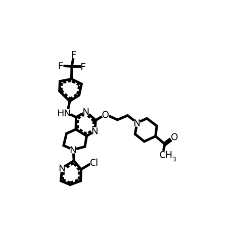 CC(=O)C1CCN(CCOc2nc3c(c(Nc4ccc(C(F)(F)F)cc4)n2)CCN(c2ncccc2Cl)C3)CC1